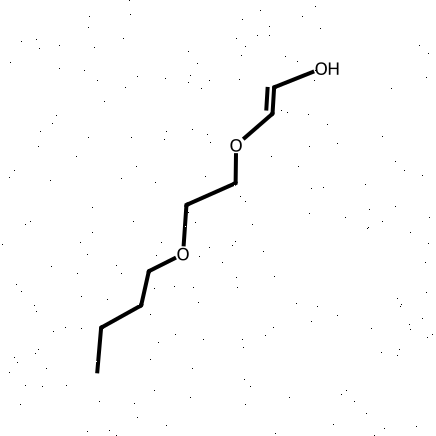 CCCCOCCOC=CO